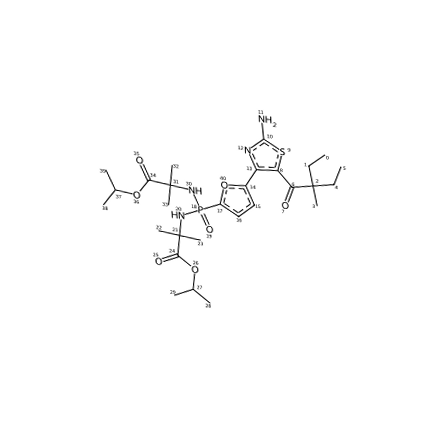 CCC(C)(CC)C(=O)c1sc(N)nc1-c1ccc(P(=O)(NC(C)(C)C(=O)OC(C)C)NC(C)(C)C(=O)OC(C)C)o1